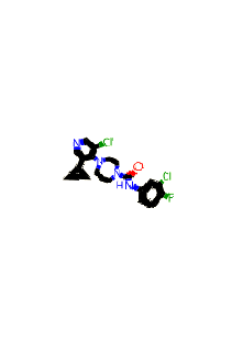 O=C(Nc1ccc(F)c(Cl)c1)N1CCCN(c2c(Cl)cncc2C2CC2)CC1